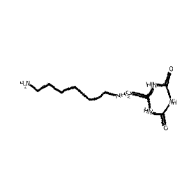 NCCCCCCN.O=c1[nH]c(=O)[nH]c(=O)[nH]1